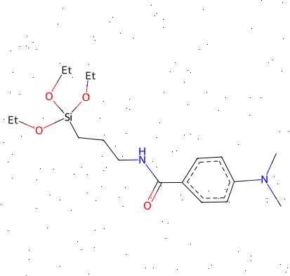 CCO[Si](CCCNC(=O)c1ccc(N(C)C)cc1)(OCC)OCC